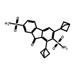 NS(=O)(=O)c1ccc2c(c1)C(=O)c1c-2cc(C23CC(C2)C3)c(S(N)(=O)=O)c1C12CC(C1)C2